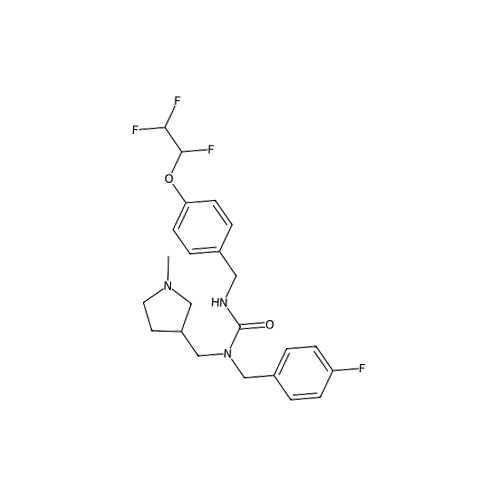 CN1CCC(CN(Cc2ccc(F)cc2)C(=O)NCc2ccc(OC(F)C(F)F)cc2)C1